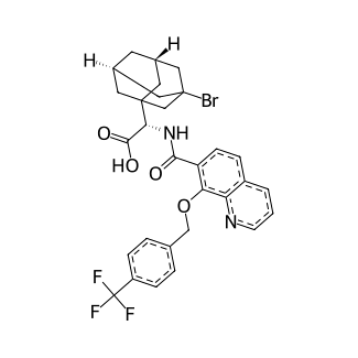 O=C(N[C@H](C(=O)O)C12C[C@@H]3C[C@@H](CC(Br)(C3)C1)C2)c1ccc2cccnc2c1OCc1ccc(C(F)(F)F)cc1